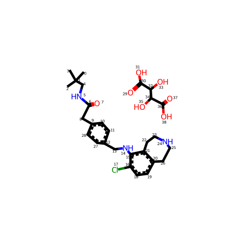 CC(C)(C)CNC(=O)Cc1ccc(CNc2c(Cl)ccc3c2CCNCC3)cc1.O=C(O)C(O)C(O)C(=O)O